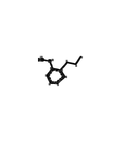 CCCc1ccccc1OO